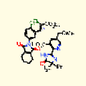 CCOC(=O)/C(Cl)=C/c1cc(N2C(=O)C3=C(CCCC3)C2=O)ccc1Cl.COCc1cnc(C2=NC(C)(C(C)C)C(=O)N2)c(C(=O)O)c1